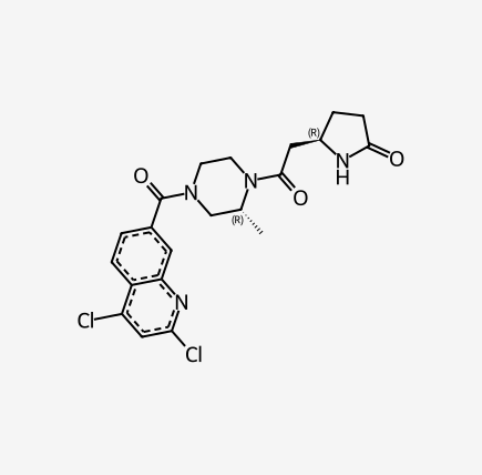 C[C@@H]1CN(C(=O)c2ccc3c(Cl)cc(Cl)nc3c2)CCN1C(=O)C[C@H]1CCC(=O)N1